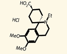 CCN1CCc2cc(OC)c(OC)cc2[C@]12CC[C@H](C(=O)O)CC2.Cl